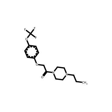 CCCN1CCN(C(=O)COc2ccc(OC(F)(F)F)cc2)CC1